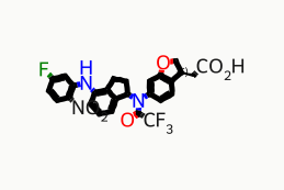 O=C(O)C[C@@H]1COc2cc(N(C(=O)C(F)(F)F)C3CCc4c(Nc5cc(F)ccc5[N+](=O)[O-])cccc43)ccc21